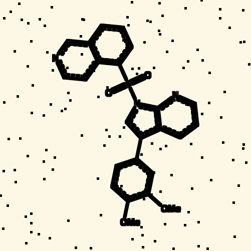 COc1ccc(-c2cn(S(=O)(=O)c3cccc4cnccc34)c3ncccc23)cc1OC